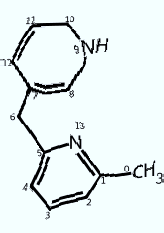 Cc1cccc(CC2=CNCC=C2)n1